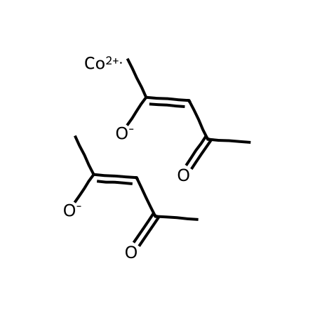 CC(=O)C=C(C)[O-].CC(=O)C=C(C)[O-].[Co+2]